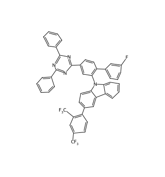 Fc1cccc(-c2ccc(-c3nc(-c4ccccc4)nc(-c4ccccc4)n3)cc2-n2c3ccccc3c3cc(-c4ccc(C(F)(F)F)cc4C(F)(F)F)ccc32)c1